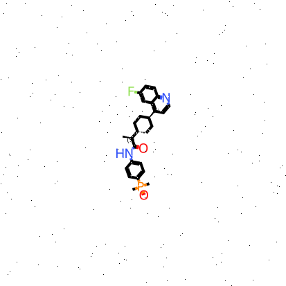 C[C@H](C(=O)Nc1ccc(P(C)(C)=O)cc1)[C@H]1CC[C@H](c2ccnc3ccc(F)cc32)CC1